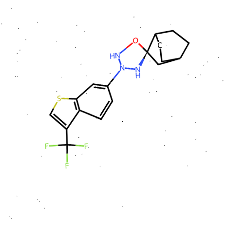 FC(F)(F)c1csc2cc(N3NO[C@]4(CC5CCC4CC5)N3)ccc12